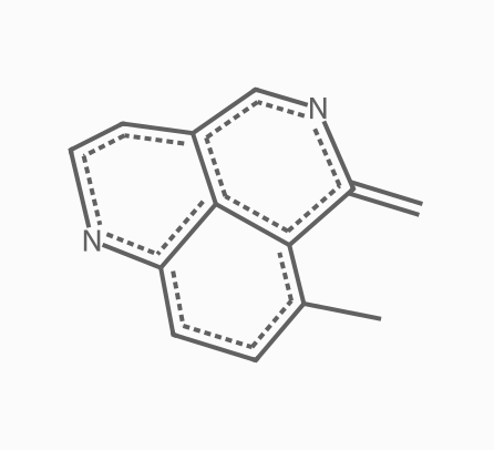 C=c1ncc2ccnc3ccc(C)c1c23